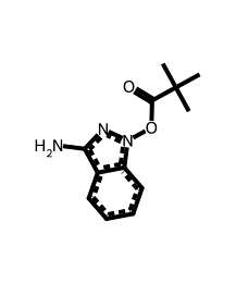 CC(C)(C)C(=O)On1nc(N)c2ccccc21